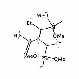 CCC(N(C(N)=O)C(CC)[Si](C)(OC)OC)[Si](C)(OC)OC